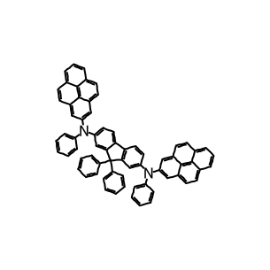 c1ccc(N(c2ccc3c(c2)C(c2ccccc2)(c2ccccc2)c2cc(N(c4ccccc4)c4cc5ccc6cccc7ccc(c4)c5c67)ccc2-3)c2cc3ccc4cccc5ccc(c2)c3c45)cc1